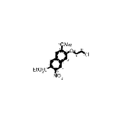 CCOC(=O)c1cc2cc(OC)c(OCCCl)cc2cc1[N+](=O)[O-]